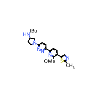 COc1nc(-c2ccc(N3CC[C@@H](NC(C)(C)C)C3)nn2)ccc1-c1cnc(C)s1